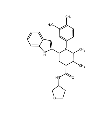 Cc1ccc(N2C(c3nc4ccccc4[nH]3)CC(C(=O)NC3CCOC3)C(C)C2C)cc1C